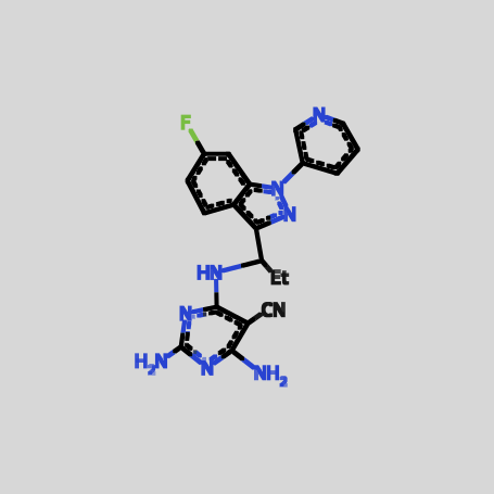 CCC(Nc1nc(N)nc(N)c1C#N)c1nn(-c2cccnc2)c2cc(F)ccc12